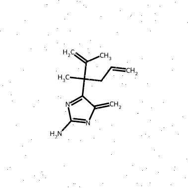 C=CCC(C)(C(=C)C)C1=NC(N)=NC1=C